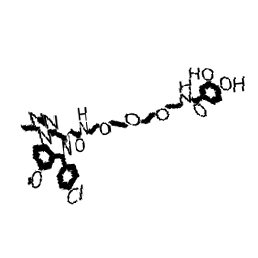 COc1ccc2c(c1)C(c1ccc(Cl)cc1)=N[C@@H](CC(=O)NCCOCCOCCOCCNC(=O)c1ccc(O)c(O)c1)c1nnc(C)n1-2